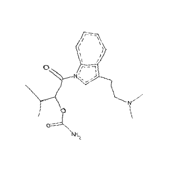 CC(C)C(OC(N)=O)C(=O)n1cc(CCN(C)C)c2ccccc21